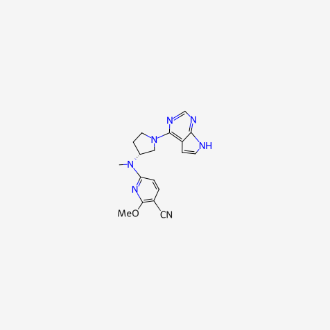 COc1nc(N(C)[C@@H]2CCN(c3ncnc4[nH]ccc34)C2)ccc1C#N